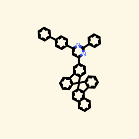 c1ccc(-c2ccc(-c3cc(-c4ccc5c(c4)-c4ccccc4C54c5ccccc5-c5c4ccc4ccccc54)nc(-c4ccccc4)n3)cc2)cc1